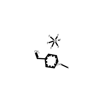 C=Cc1ccccc1.[F][Sb-]([F])([F])([F])([F])[F].[GeH2+][I]